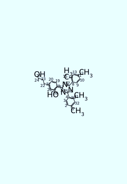 Cc1ccc(-c2nc(-c3ccc(C)cc3C)nc(-c3ccc(CCCO)cc3O)n2)c(C)c1